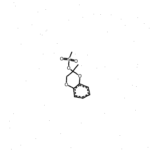 CC1(OS(C)(=O)=O)COc2ccccc2O1